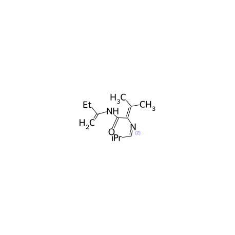 C=C(CC)NC(=O)C(/N=C\C(C)C)=C(C)C